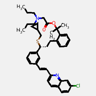 CCCN(CCC)CC(=O)OC(C)(C)c1ccccc1CC[C@@H](SCC1CC1)c1cccc(/C=C/c2ccc3ccc(Cl)cc3n2)c1